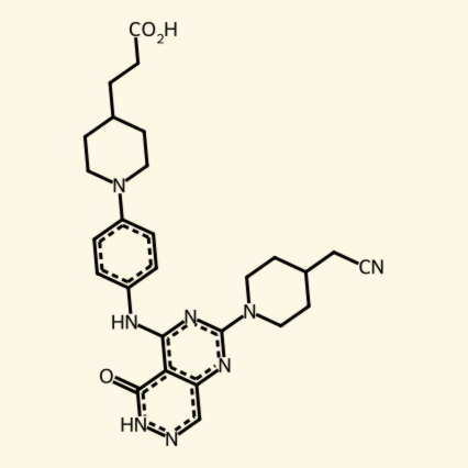 N#CCC1CCN(c2nc(Nc3ccc(N4CCC(CCC(=O)O)CC4)cc3)c3c(=O)[nH]ncc3n2)CC1